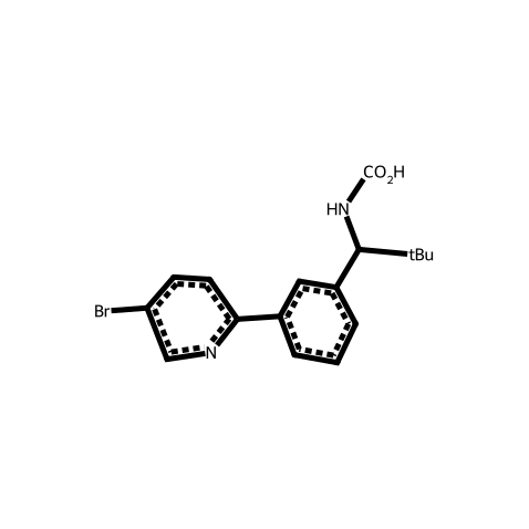 CC(C)(C)C(NC(=O)O)c1cccc(-c2ccc(Br)cn2)c1